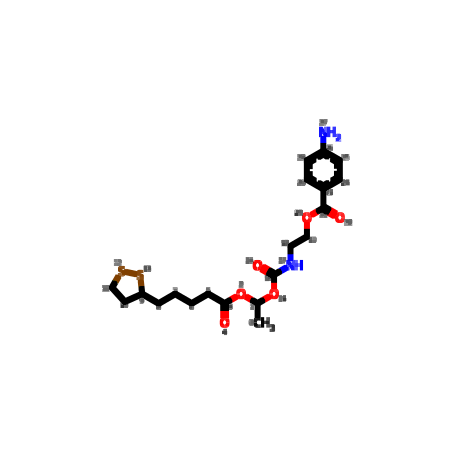 CC(OC(=O)CCCCC1CCSS1)OC(=O)NCCOC(=O)c1ccc(N)cc1